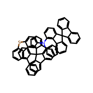 c1ccc(-c2ccccc2C2(c3ccccc3-c3ccccc3)c3ccccc3-c3cccc(N(c4ccc5sc6ccccc6c5c4)c4cccc5c4-c4ccccc4C54c5ccccc5-c5ccccc54)c32)cc1